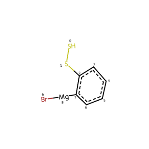 SSc1cccc[c]1[Mg][Br]